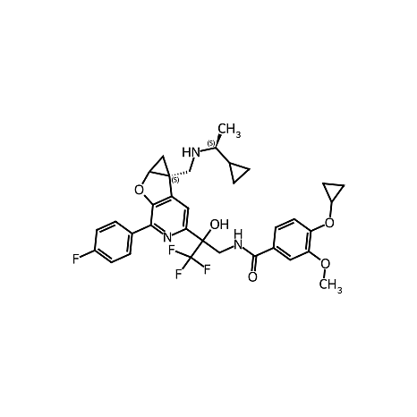 COc1cc(C(=O)NCC(O)(c2cc3c(c(-c4ccc(F)cc4)n2)OC2C[C@@]32CN[C@@H](C)C2CC2)C(F)(F)F)ccc1OC1CC1